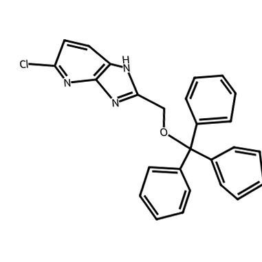 Clc1ccc2[nH]c(COC(c3ccccc3)(c3ccccc3)c3ccccc3)nc2n1